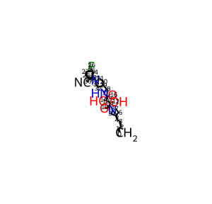 C=C/C=C\C=C1/CCN(C(=O)[C@H](O)[C@@H](O)C(=O)NCC2CCN(c3cc(F)ccc3C#N)CC2)C1